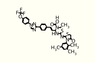 CCN(C(=O)O)C(/C=C/c1ccc(-c2ncn(-c3ccc(OC(F)(F)F)cc3)n2)cc1)NC(=S)/N=C1\SCC(=O)N1c1cc(C)cc(C)c1C